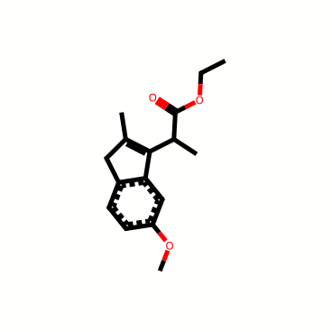 CCOC(=O)C(C)C1=C(C)Cc2ccc(OC)cc21